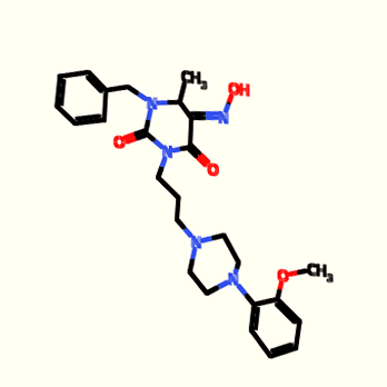 COc1ccccc1N1CCN(CCCN2C(=O)C(=NO)C(C)N(Cc3ccccc3)C2=O)CC1